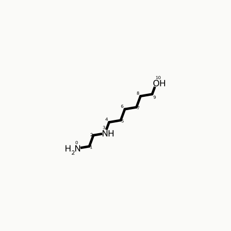 NCCNCCCCCCO